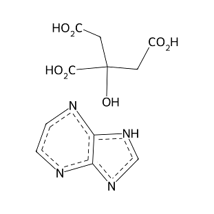 O=C(O)CC(O)(CC(=O)O)C(=O)O.c1cnc2[nH]cnc2n1